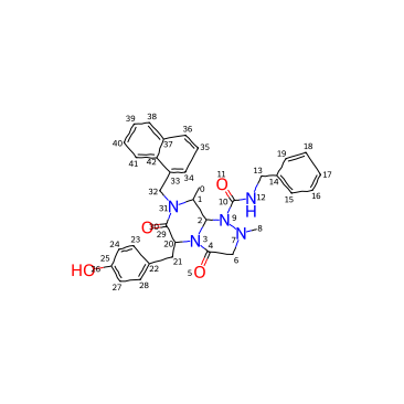 CC1C2N(C(=O)CN(C)N2C(=O)NCc2ccccc2)C(Cc2ccc(O)cc2)C(=O)N1Cc1cccc2ccccc12